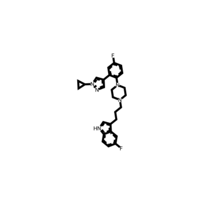 Fc1ccc(N2CCN(CCCc3c[nH]c4ccc(F)cc34)CC2)c(-c2cnn(C3CC3)c2)c1